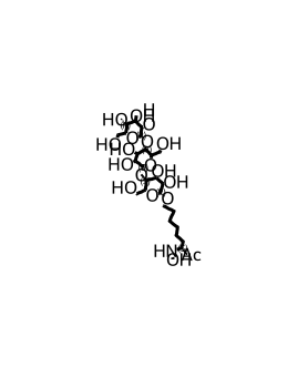 CC(=O)[C@H](CCCCCCO[C@@H]1OC(CO)[C@@H](O[C@@H]2OC(CO)[C@H](O[C@H]3OC(CO)[C@H](O)C(O)C3O)C(O)C2O)C(O)C1O)NO